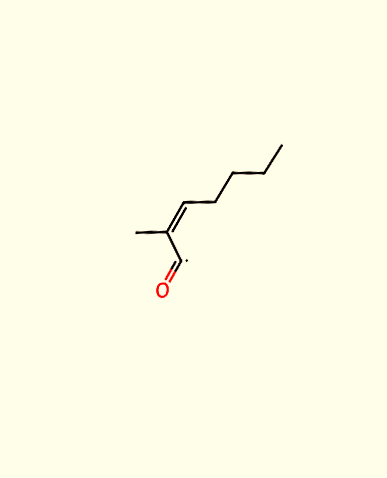 CCCCC=C(C)[C]=O